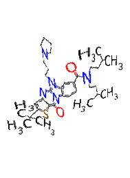 CC(C)CCN(CCC(C)C)C(=O)c1ccc2c(c1)n(CCCN1CCCC1)c1nc3cc(C(C)(C)C)sc3c(=O)n21